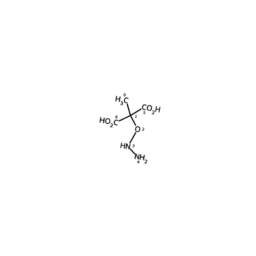 CC(ONN)(C(=O)O)C(=O)O